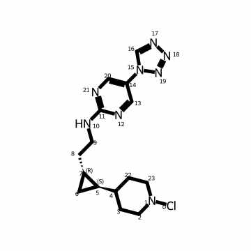 ClN1CCC([C@H]2C[C@@H]2CCNc2ncc(-n3cnnn3)cn2)CC1